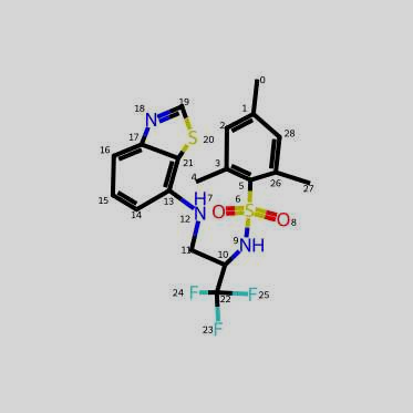 Cc1cc(C)c(S(=O)(=O)NC(CNc2cccc3ncsc23)C(F)(F)F)c(C)c1